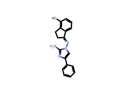 N#Cc1cccc2c1CC/C2=N\n1cc(-c2ccccc2)nc1N